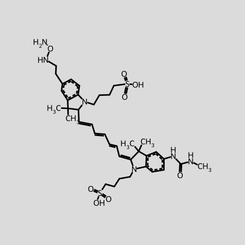 CNC(=O)Nc1ccc2c(c1)C(C)(C)\C(=C/C=C/C=C/C=C/C1N(CCCCS(=O)(=O)O)c3ccc(CCNON)cc3C1(C)C)N2CCCCS(=O)(=O)O